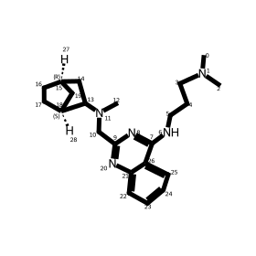 CN(C)CCCNc1nc(CN(C)C2C[C@@H]3CC[C@H]2C3)nc2ccccc12